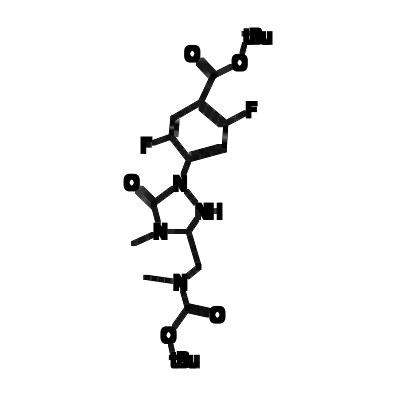 CN(CC1NN(c2cc(F)c(C(=O)OC(C)(C)C)cc2F)C(=O)N1C)C(=O)OC(C)(C)C